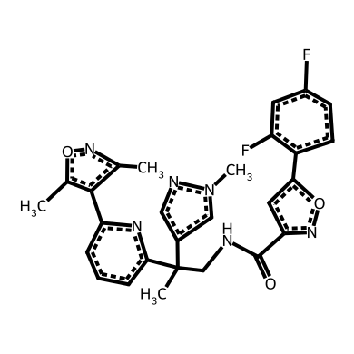 Cc1noc(C)c1-c1cccc(C(C)(CNC(=O)c2cc(-c3ccc(F)cc3F)on2)c2cnn(C)c2)n1